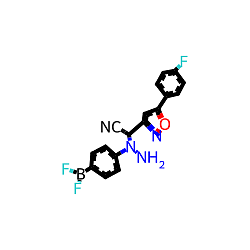 N#CC(c1cc(-c2ccc(F)cc2)on1)N(N)c1ccc(B(F)F)cc1